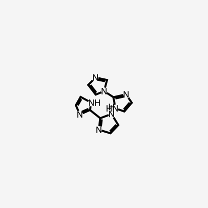 c1c[nH]c(-c2ncc[nH]2)n1.c1cn(-c2ncc[nH]2)cn1